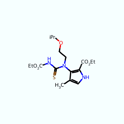 CCOC(=O)NC(=S)N(CCOC(C)C)c1c(C)c[nH]c1C(=O)OCC